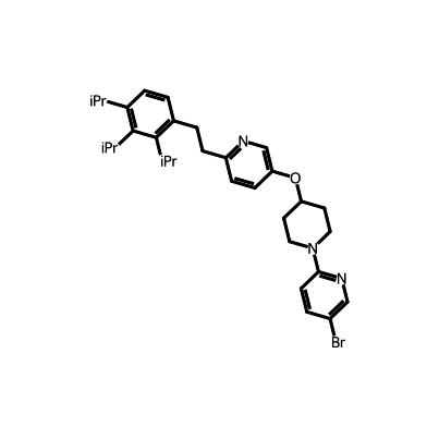 CC(C)c1ccc(CCc2ccc(OC3CCN(c4ccc(Br)cn4)CC3)cn2)c(C(C)C)c1C(C)C